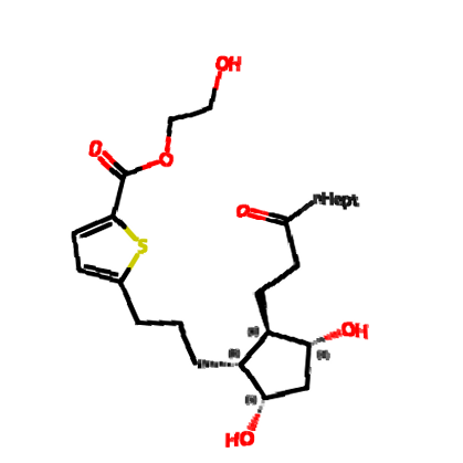 CCCCCCCC(=O)CC[C@@H]1[C@@H](CCCc2ccc(C(=O)OCCO)s2)[C@@H](O)C[C@H]1O